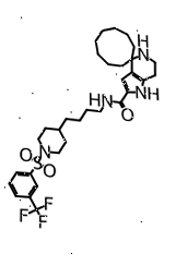 O=C(NCCCCC1CCN(S(=O)(=O)c2cccc(C(F)(F)F)c2)CC1)c1cc2c([nH]1)CCNC21CCCCCCCC1